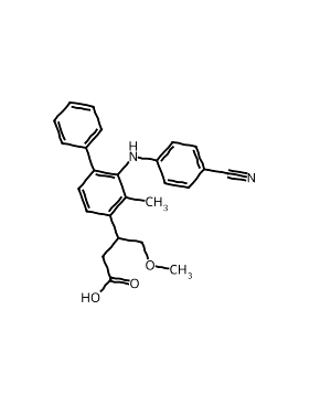 COCC(CC(=O)O)c1ccc(-c2ccccc2)c(Nc2ccc(C#N)cc2)c1C